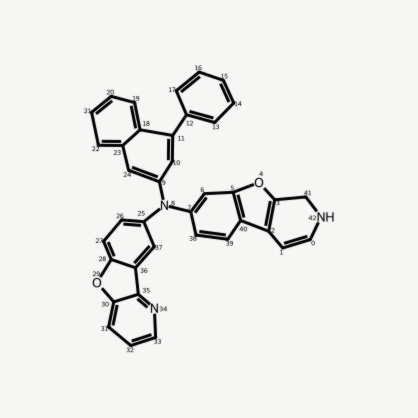 C1=Cc2c(oc3cc(N(c4cc(-c5ccccc5)c5ccccc5c4)c4ccc5oc6cccnc6c5c4)ccc23)CN1